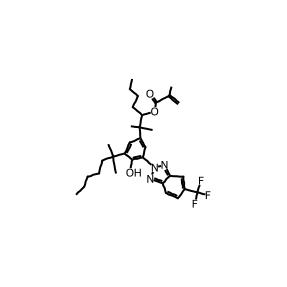 C=C(C)C(=O)OC(CCCC)C(C)(C)c1cc(-n2nc3ccc(C(F)(F)F)cc3n2)c(O)c(C(C)(C)CCCCC)c1